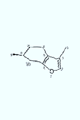 Cc1coc2c1CC[C@H](C)C2